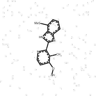 CCCOc1ccnc(-c2nc3cccc(SC)c3[nH]2)c1C